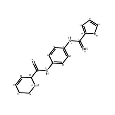 N=C(Nc1ccc(NC(=O)C2C=CCCN2)cc1)c1cccs1